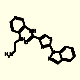 NCCNc1ccncc1NC(=O)c1csc(-n2ncc3ccccc32)n1